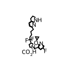 O=C(O)C(c1cc(F)cnc1OC1CC1)N1CCC(C(F)(F)CCCCc2ccc3c(n2)NCCC3)C1